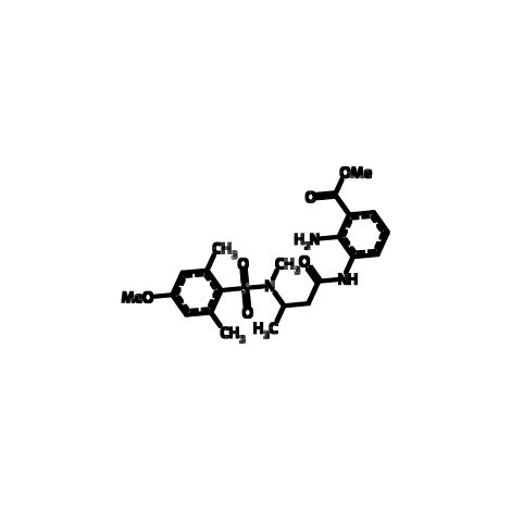 COC(=O)c1cccc(NC(=O)CC(C)N(C)S(=O)(=O)c2c(C)cc(OC)cc2C)c1N